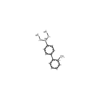 CCCO[SiH](OCCC)c1ccc(-c2ccccc2C)cc1